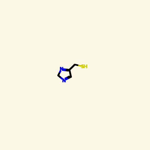 SCC1=NCN=C1